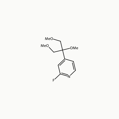 COCC(COC)(OC)c1ccnc(F)c1